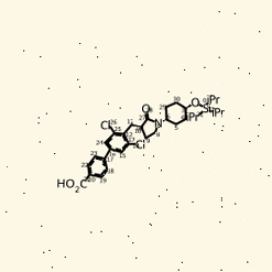 CC(C)[Si](O[C@H]1CC[C@H](N2CC[C@@H](Cc3c(Cl)cc(-c4ccc(C(=O)O)cc4)cc3Cl)C2=O)CC1)(C(C)C)C(C)C